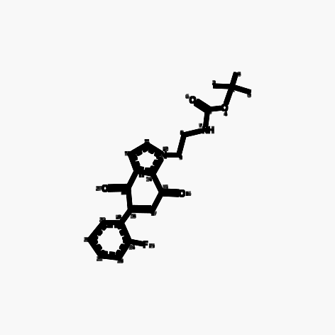 CC(C)(C)OC(=O)NCCn1ccc2c1C(=O)C=C(c1ccccc1F)C2=O